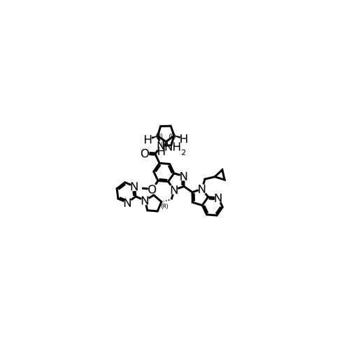 COc1cc(C(=O)N2C[C@H]3CC[C@@H]2[C@@H]3N)cc2nc(-c3cc4cccnc4n3CC3CC3)n(C[C@@H]3CCN(c4ncccn4)C3)c12